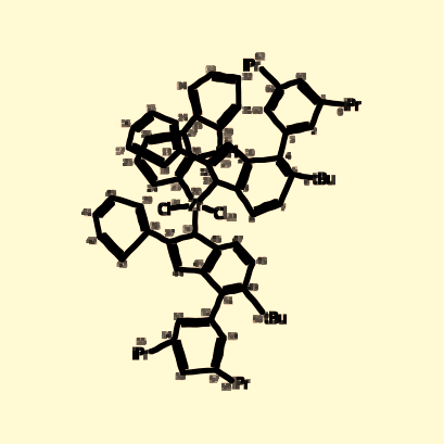 CC(C)c1cc(-c2c(C(C)(C)C)ccc3c2C=C(c2ccccc2)[CH]3[Zr]([Cl])([Cl])([c]2cccc3c2[SiH2]c2ccccc2-3)[CH]2C(c3ccccc3)=Cc3c2ccc(C(C)(C)C)c3-c2cc(C(C)C)cc(C(C)C)c2)cc(C(C)C)c1